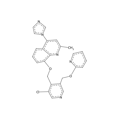 Cc1cc(-n2ccnc2)c2cccc(OCc3c(Cl)cncc3COc3ccccn3)c2n1